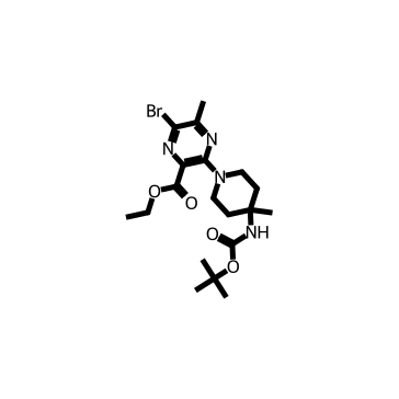 CCOC(=O)c1nc(Br)c(C)nc1N1CCC(C)(NC(=O)OC(C)(C)C)CC1